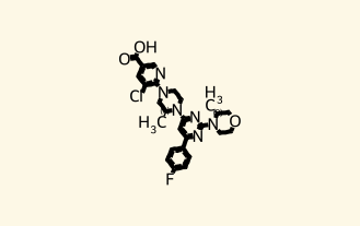 C[C@@H]1CN(c2ncc(C(=O)O)cc2Cl)CCN1c1cc(-c2ccc(F)cc2)nc(N2CCOC[C@H]2C)n1